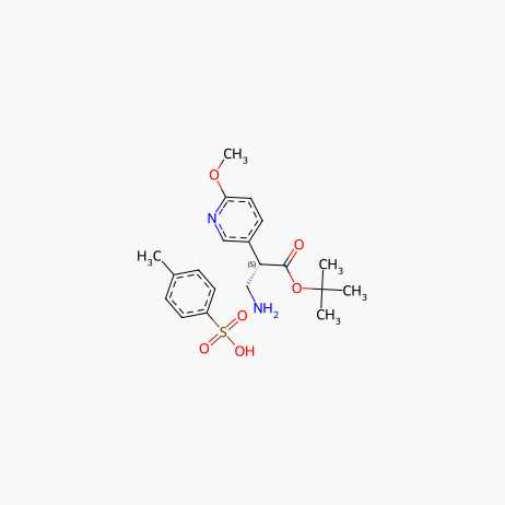 COc1ccc([C@@H](CN)C(=O)OC(C)(C)C)cn1.Cc1ccc(S(=O)(=O)O)cc1